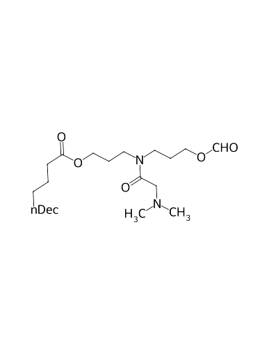 CCCCCCCCCCCCCC(=O)OCCCN(CCCOC=O)C(=O)CN(C)C